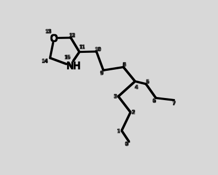 CCCCC(CCC)CCCC1COCN1